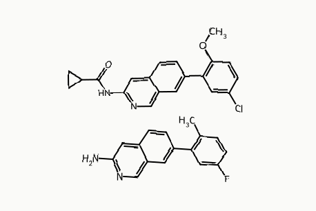 COc1ccc(Cl)cc1-c1ccc2cc(NC(=O)C3CC3)ncc2c1.Cc1ccc(F)cc1-c1ccc2cc(N)ncc2c1